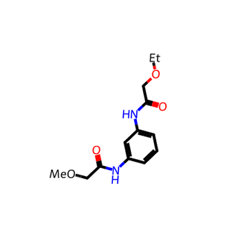 CCOCC(=O)Nc1cccc(NC(=O)COC)c1